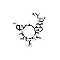 CCC(C)C1NC(=O)[C@H](Cc2ccc(O)cc2)NC(=O)CNC(=O)CCC(C(=O)N2CCCCC2C(=O)NC(CC(C)C)C(=O)NCC(N)=O)NC(=O)[C@H](CC(N)=O)NC(=O)[C@H](CCC(N)=O)NC1=O